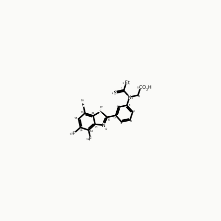 CCC(=S)N(CC(=O)O)c1cccc(-c2nc3c(F)c(F)cc(F)c3s2)c1